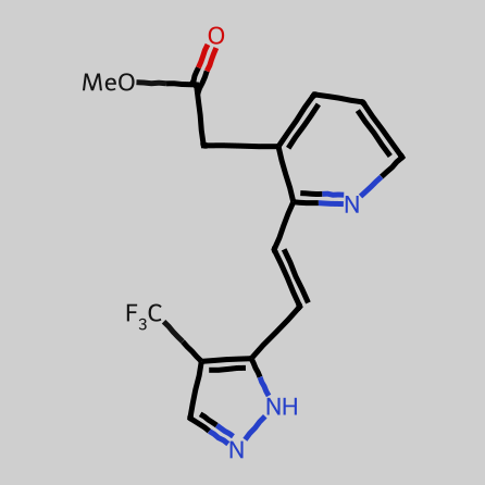 COC(=O)Cc1cccnc1C=Cc1[nH]ncc1C(F)(F)F